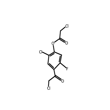 O=C(CCl)Oc1cc(F)c(C(=O)CCl)cc1Cl